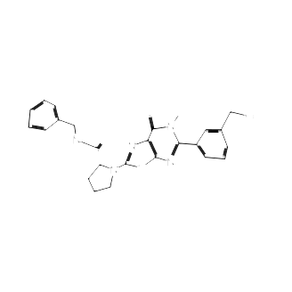 Cn1c(-c2cccc(CO)c2)nc2sc(N3CCC[C@@H]3C(=O)NCc3ccccc3)nc2c1=O